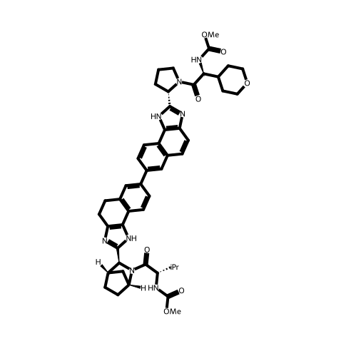 COC(=O)N[C@H](C(=O)N1[C@@H]2CC[C@@H](C2)[C@H]1c1nc2c([nH]1)-c1ccc(-c3ccc4c(ccc5nc([C@@H]6CCCN6C(=O)[C@@H](NC(=O)OC)C6CCOCC6)[nH]c54)c3)cc1CC2)C(C)C